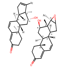 CC(=O)C1=CC[C@H]2[C@@H]3C=CC4=CC(=O)CC[C@]4(C)[C@H]3C[C@@H](O)[C@]12C.CC(=O)[C@]12OC1C[C@H]1[C@@H]3C=CC4=CC(=O)CC[C@]4(C)[C@H]3C[C@@H](O)[C@@]12C